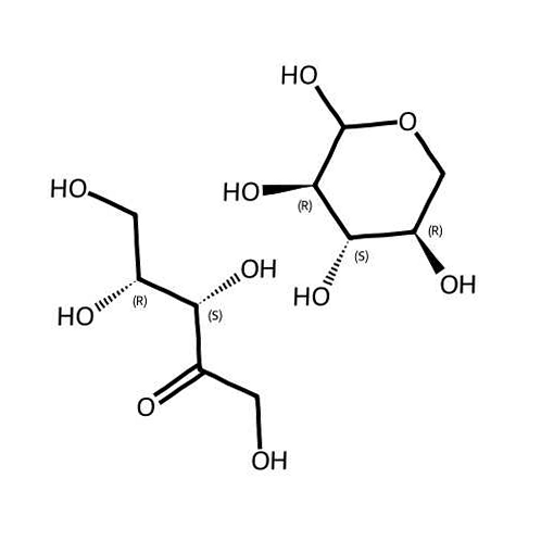 O=C(CO)[C@@H](O)[C@H](O)CO.OC1OC[C@@H](O)[C@H](O)[C@H]1O